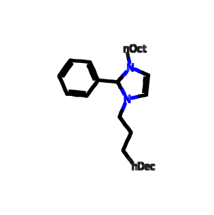 CCCCCCCCCCCCCN1C=CN(CCCCCCCC)C1c1ccccc1